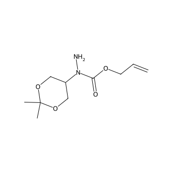 C=CCOC(=O)N(N)C1COC(C)(C)OC1